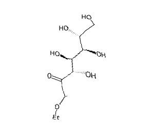 CCO[CH]C(=O)[C@@H](O)[C@@H](O)[C@H](O)[C@H](O)CO